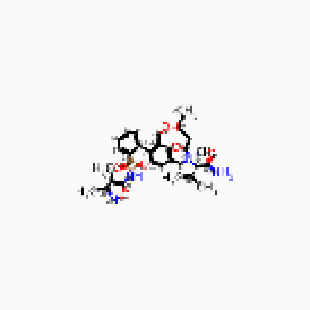 CCCCC(=O)[N+](C)(Cc1ccc(-c2ccccc2S(=O)(=O)Nc2onc(C)c2C)c(CO)c1)[C@H](C(N)=O)C(C)C